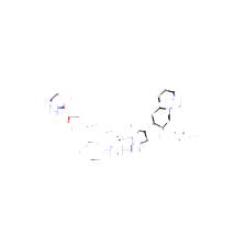 COc1cc2nc(C)ccc2cc1-c1cnc([C@H](CCCCCC(=O)c2ncco2)NC2CCOCC2)[nH]1